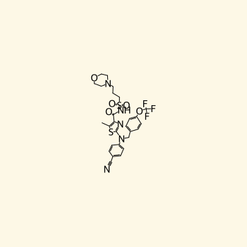 Cc1sc(N(Cc2ccc(OC(F)(F)F)cc2)c2ccc(C#N)cc2)nc1C(=O)NS(=O)(=O)CCCN1CCOCC1